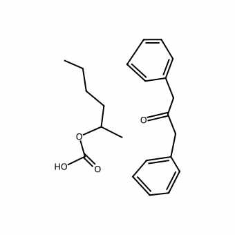 CCCCC(C)OC(=O)O.O=C(Cc1ccccc1)Cc1ccccc1